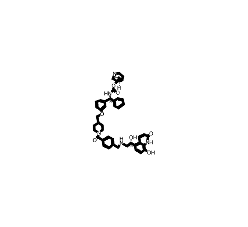 O=C(N[C@@H](c1ccccc1)c1cccc(OCC2CCN(C(=O)c3ccc(CNC[C@H](O)c4ccc(O)c5[nH]c(=O)ccc45)cc3)CC2)c1)O[C@H]1CN2CCC1CC2